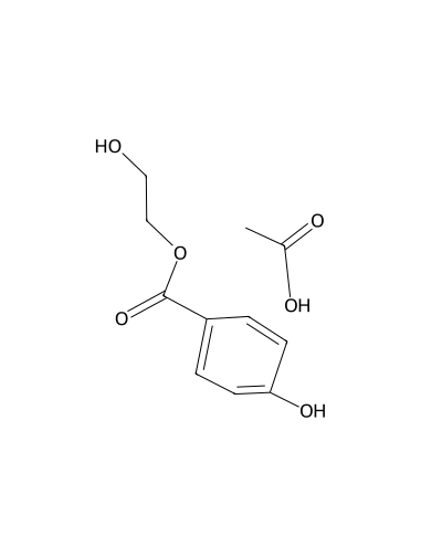 CC(=O)O.O=C(OCCO)c1ccc(O)cc1